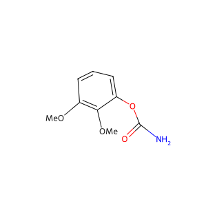 COc1cccc(OC(N)=O)c1OC